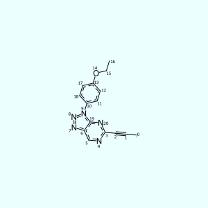 [CH2]C#Cc1ncc2nnn(-c3ccc(OCC)cc3)c2n1